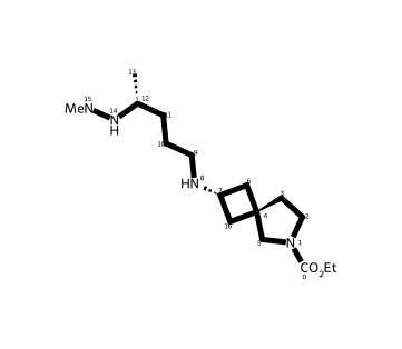 CCOC(=O)N1CC[C@]2(C1)C[C@@H](NCCC[C@@H](C)NNC)C2